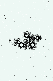 COc1ccc(S(=O)(=O)C(F)(F)F)cc1S(=O)(=O)Nc1ccccc1N(n1ccnc1)S(=O)(=O)c1ccccc1